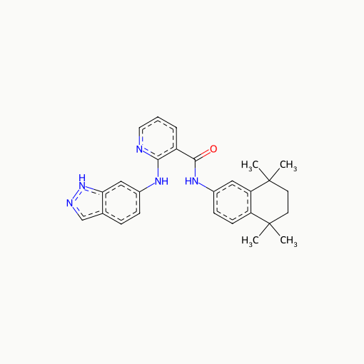 CC1(C)CCC(C)(C)c2cc(NC(=O)c3cccnc3Nc3ccc4cn[nH]c4c3)ccc21